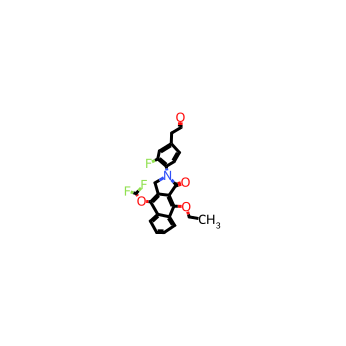 CCOc1c2c(c(OC(F)F)c3ccccc13)CN(c1ccc(CC=O)cc1F)C2=O